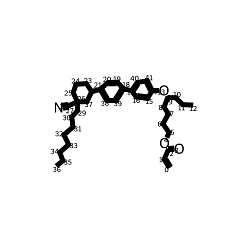 C=CC(=O)OCCCCC(CCC)Oc1ccc(-c2ccc(C3CCCC(C#N)(CCCCCCCC)C3)cc2)cc1